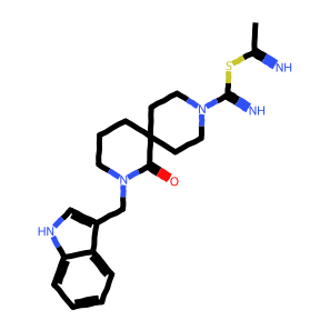 CC(=N)SC(=N)N1CCC2(CCCN(Cc3c[nH]c4ccccc34)C2=O)CC1